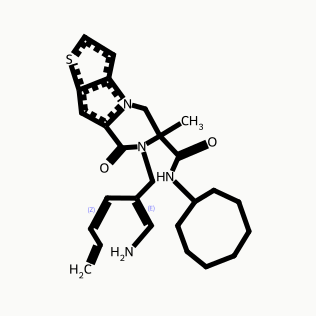 C=C/C=C\C(=C/N)CN1C(=O)c2cc3sccc3n2CC1(C)C(=O)NC1CCCCCCC1